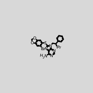 CC(C)C(Cn1c(Sc2cc3c(cc2Br)OCO3)nc2c(N)ncnc21)c1ccccc1